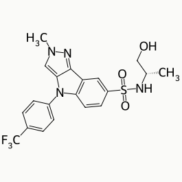 C[C@@H](CO)NS(=O)(=O)c1ccc2c(c1)c1nn(C)cc1n2-c1ccc(C(F)(F)F)cc1